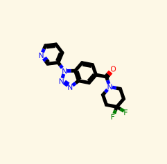 O=C(c1ccc2c(c1)nnn2-c1cccnc1)N1CCC(F)(F)CC1